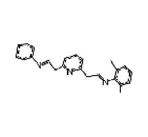 Cc1cccc(C)c1N=CCc1cccc(CC=Nc2ccccc2)n1